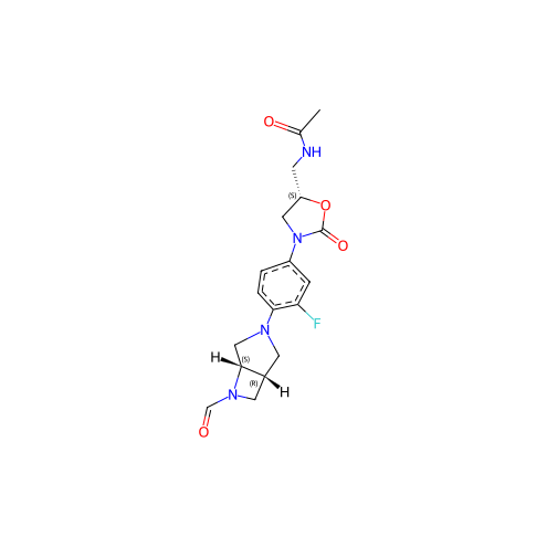 CC(=O)NC[C@H]1CN(c2ccc(N3C[C@@H]4CN(C=O)[C@@H]4C3)c(F)c2)C(=O)O1